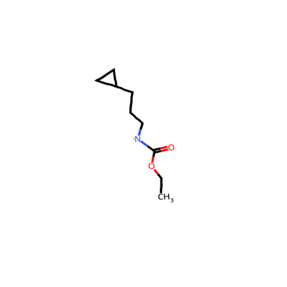 CCOC(=O)[N]CCCC1CC1